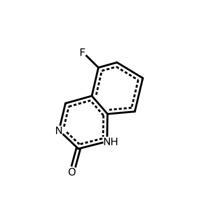 O=c1ncc2c(F)cccc2[nH]1